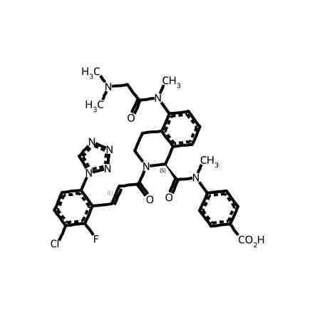 CN(C)CC(=O)N(C)c1cccc2c1CCN(C(=O)/C=C/c1c(-n3cnnn3)ccc(Cl)c1F)[C@@H]2C(=O)N(C)c1ccc(C(=O)O)cc1